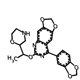 CC(Oc1nc(-c2ccc3c(c2)OCO3)c2cc3c(cc2n1)OCO3)C1CNCCO1